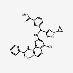 CCC(Nc1c(C#N)cnc2c(C#N)cc(NC(c3cccc(C(=O)NC)c3)c3cn(C4CC4)nn3)cc12)c1ccccc1